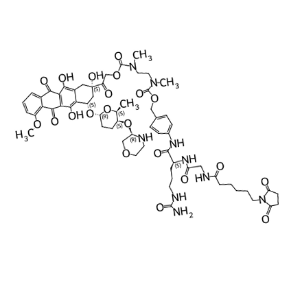 COc1cccc2c1C(=O)c1c(O)c3c(c(O)c1C2=O)C[C@@](O)(C(=O)COC(=O)N(C)CCN(C)C(=O)OCc1ccc(NC(=O)[C@H](CCCNC(N)=O)NC(=O)CNC(=O)CCCCCN2C(=O)CCC2=O)cc1)C[C@@H]3O[C@H]1CC[C@H](O[C@@H]2COCCN2)[C@H](C)O1